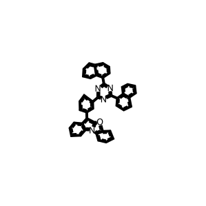 c1cc(-c2nc(-c3cccc4ccccc34)nc(-c3cccc4ccccc34)n2)cc(-c2c3ccccc3n3c2oc2ccccc23)c1